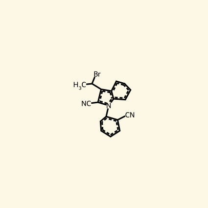 CC(Br)c1c(C#N)n(-c2ccccc2C#N)c2ccccc12